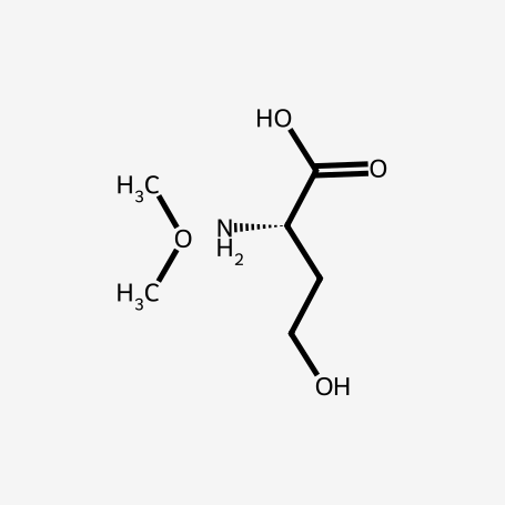 COC.N[C@@H](CCO)C(=O)O